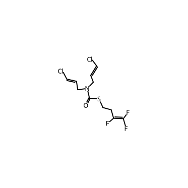 O=C(SCCC(F)=C(F)F)N(CC=CCl)CC=CCl